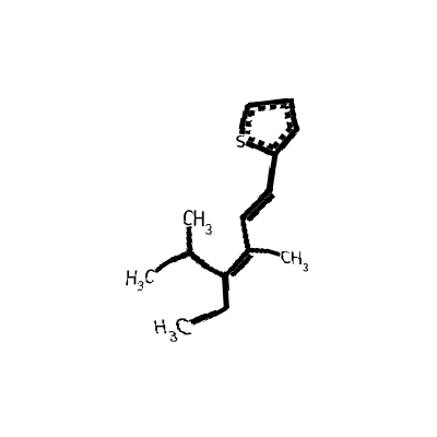 CC/C(=C(C)/C=C/c1cccs1)C(C)C